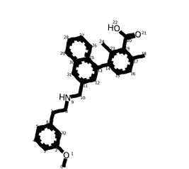 COc1cccc(CCNCc2cc(-c3ccc(C)c(C(=O)O)c3C)c3ccccc3c2)c1